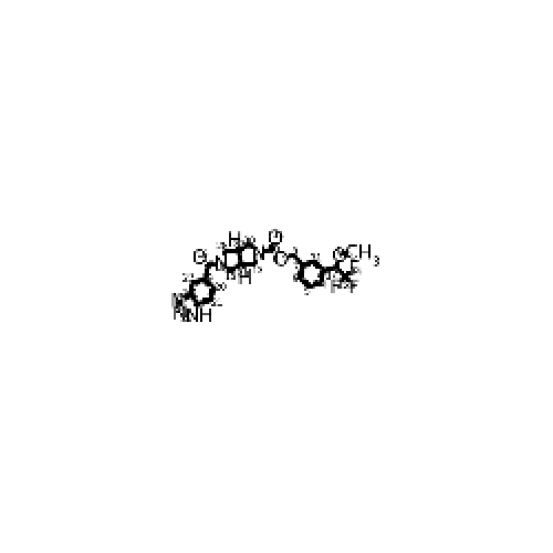 COC(c1cccc(COC(=O)N2C[C@@H]3CN(C(=O)c4ccc5[nH]nnc5c4)C[C@@H]3C2)c1)C(F)(F)F